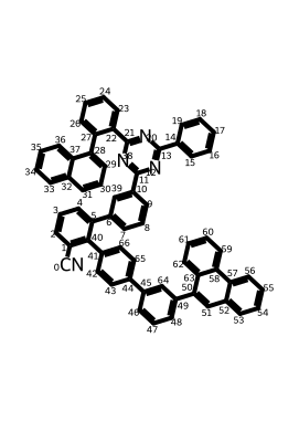 N#Cc1cccc(-c2cccc(-c3nc(-c4ccccc4)nc(-c4ccccc4-c4cccc5ccccc45)n3)c2)c1-c1ccc(-c2cccc(-c3cc4ccccc4c4ccccc34)c2)cc1